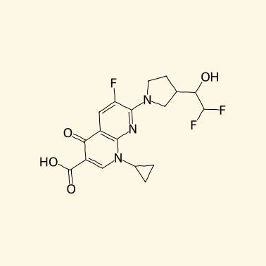 O=C(O)c1cn(C2CC2)c2nc(N3CCC(C(O)C(F)F)C3)c(F)cc2c1=O